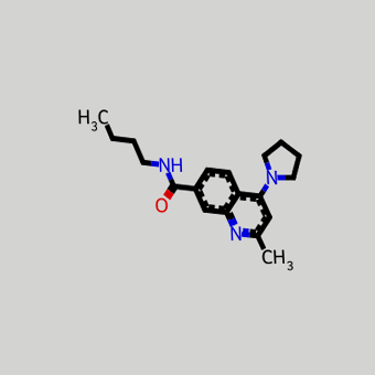 CCCCNC(=O)c1ccc2c(N3CCCC3)cc(C)nc2c1